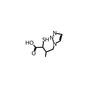 CC(Cn1ccnn1)C(S)C(=O)O